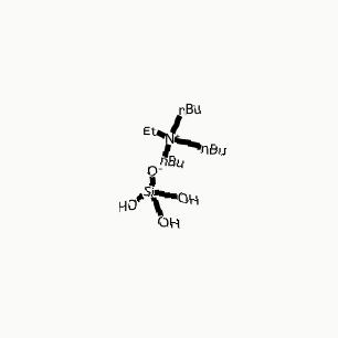 CCCC[N+](CC)(CCCC)CCCC.[O-][Si](O)(O)O